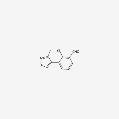 Cc1nocc1-c1cccc(C=O)c1Cl